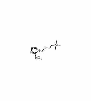 C[Si](C)(C)CCOCn1ccnc1[N+](=O)[O-]